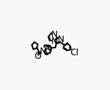 O=C(C1CCCC1)N1CC2CCC1CN2Cc1c(-c2ccc(Cl)cc2)nc2ncccn12